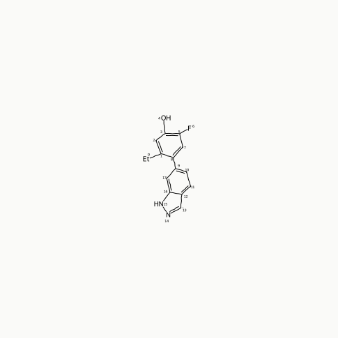 CCc1cc(O)c(F)cc1-c1ccc2[c]n[nH]c2c1